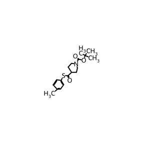 Cc1ccc(SC(=O)C2CCN(C(=O)OC(C)(C)C)CC2)cc1